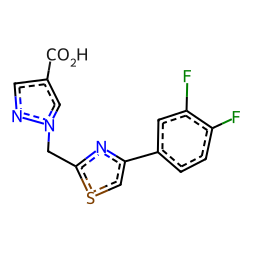 O=C(O)c1cnn(Cc2nc(-c3ccc(F)c(F)c3)cs2)c1